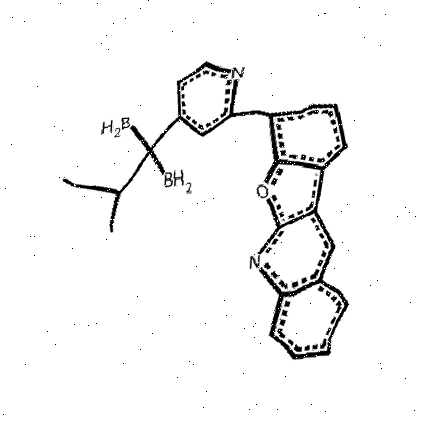 BC(B)(c1ccnc(-c2cccc3c2oc2nc4ccccc4cc23)c1)C(C)C